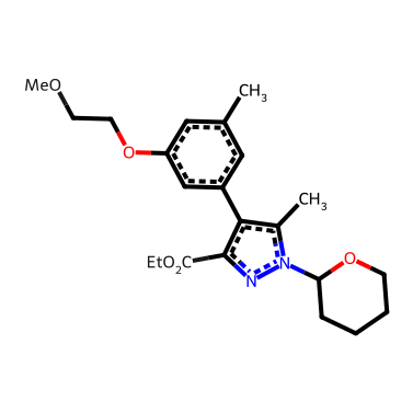 CCOC(=O)c1nn(C2CCCCO2)c(C)c1-c1cc(C)cc(OCCOC)c1